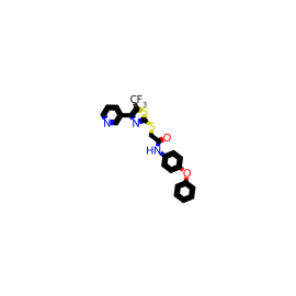 O=C(CSc1nc(-c2cccnc2)c(C(F)(F)F)s1)Nc1ccc(Oc2ccccc2)cc1